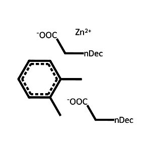 CCCCCCCCCCCC(=O)[O-].CCCCCCCCCCCC(=O)[O-].Cc1ccccc1C.[Zn+2]